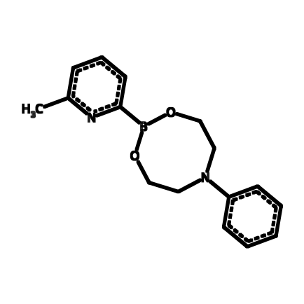 Cc1cccc(B2OCCN(c3ccccc3)CCO2)n1